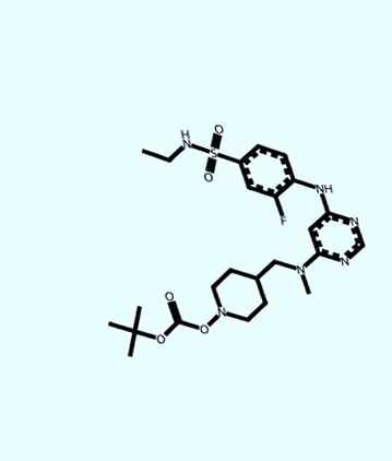 CCNS(=O)(=O)c1ccc(Nc2cc(N(C)CC3CCN(OC(=O)OC(C)(C)C)CC3)ncn2)c(F)c1